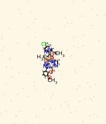 COc1cccc2c1OC[C@@H](c1ncccn1)n1c(NS(=O)(=O)C(C)C(OC(C)C)c3ncc(Cl)cn3)nnc1-2